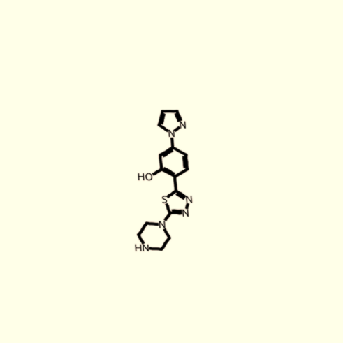 Oc1cc(-n2cccn2)ccc1-c1nnc(N2CCNCC2)s1